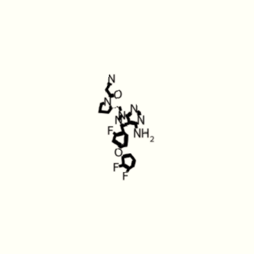 N#CCC(=O)N1CCC[C@H]1Cn1nc(-c2ccc(Oc3cccc(F)c3F)cc2F)c2c(N)ncnc21